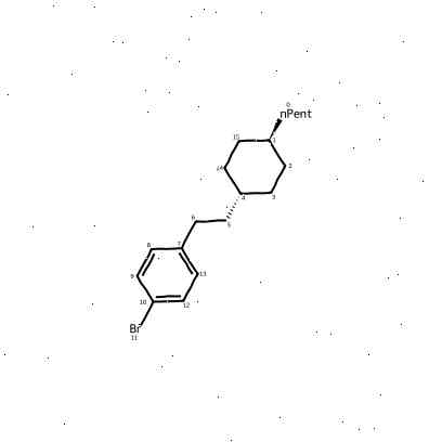 CCCCC[C@H]1CC[C@H](CCc2ccc(Br)cc2)CC1